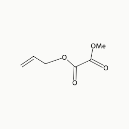 C=CCOC(=O)C(=O)OC